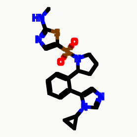 CNc1ncc(S(=O)(=O)N2CCCC2c2ccccc2-c2cncn2C2CC2)s1